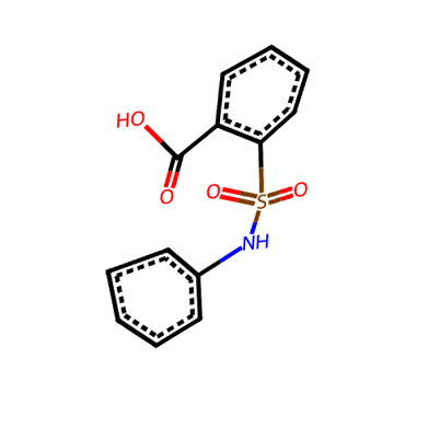 O=C(O)c1ccccc1S(=O)(=O)Nc1ccccc1